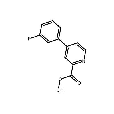 COC(=O)c1cc(-c2cccc(F)c2)ccn1